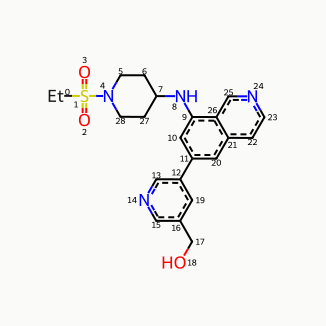 CCS(=O)(=O)N1CCC(Nc2cc(-c3cncc(CO)c3)cc3ccncc23)CC1